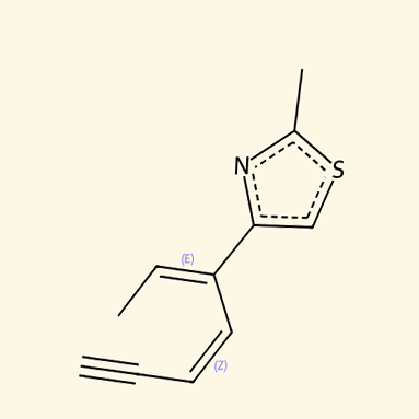 C#C/C=C\C(=C/C)c1csc(C)n1